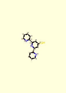 Sc1cc(-c2ccccn2)nc(-c2ccccn2)c1